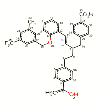 C=C(O)c1ccc(CCC(/C=C/c2ccccc2OCc2cc(C(F)(F)F)cc(C(F)(F)F)c2)Cc2ccc(C(=O)O)cc2)cc1